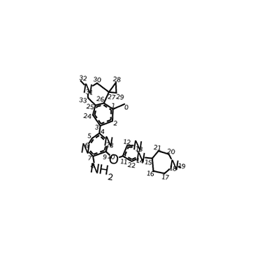 Cc1cc(-c2cnc(N)c(Oc3cnn(C4CCN(C)CC4)c3)n2)cc2c1C1(CC1)CN(C)C2